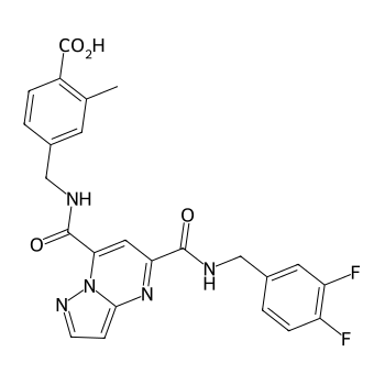 Cc1cc(CNC(=O)c2cc(C(=O)NCc3ccc(F)c(F)c3)nc3ccnn23)ccc1C(=O)O